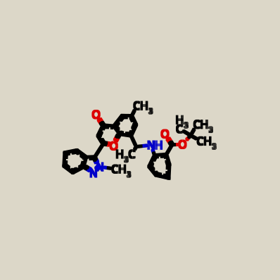 Cc1cc(C(C)Nc2ccccc2C(=O)OC(C)(C)C)c2oc(-c3c4ccccc4nn3C)cc(=O)c2c1